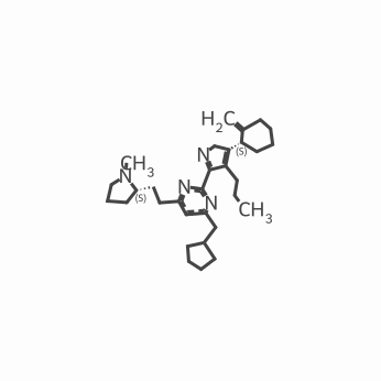 C=C1CCCC[C@@H]1C1=C(CCC)C(c2nc(CC[C@@H]3CCCN3C)cc(CC3CCCC3)n2)=NC1